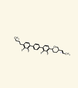 C/C=C/C1CCC(c2ccc(-c3ccc(-c4ccc(CCCC)c(F)c4F)cc3)c(F)c2F)OC1